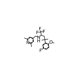 COc1ccc(F)cc1C(C)(C)CC(NCc1cc(C)nc(C)c1)C(F)(F)F